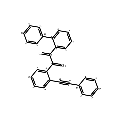 O=C(C(=O)c1ccccc1-c1ccccc1)c1ccccc1C#Cc1ccccc1